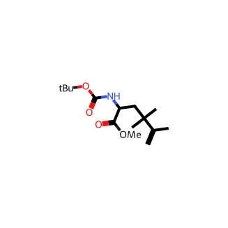 C=C(C)C(C)(C)CC(NC(=O)OC(C)(C)C)C(=O)OC